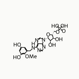 COc1c(O)cc(O)cc1CNc1ncnc2c1ncn2[C@@H]1O[C@H](COP(=O)(O)O)[C@@H](O)[C@H]1O